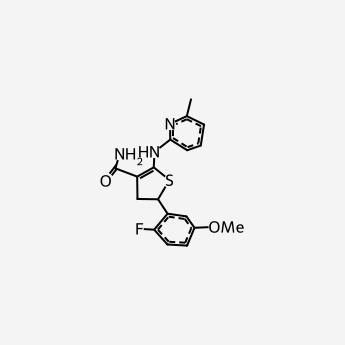 COc1ccc(F)c(C2CC(C(N)=O)=C(Nc3cccc(C)n3)S2)c1